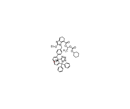 CCOc1nc2c(n1Cc1ccc(-c3ccccc3-c3nnnn3C(c3ccccc3)(c3ccccc3)c3ccccc3)cc1)=C(C(=O)OC(C)OC(=O)OC1CCCCC1)CCC=2